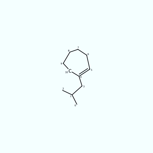 CC(C)CC1=CCCCCC1